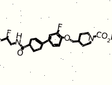 O=C(NCC(F)F)C1CC=C(c2ccc(OCC3CCN(C(=O)O)CC3)c(F)c2)CC1